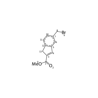 COC(=O)C1=Cc2cc(CBr)ccc2C1